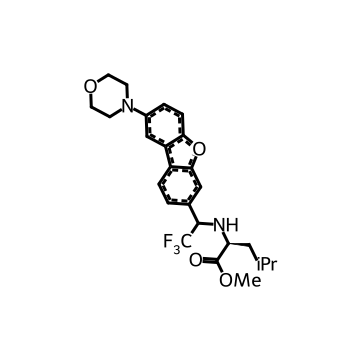 COC(=O)[C@H](CC(C)C)NC(c1ccc2c(c1)oc1ccc(N3CCOCC3)cc12)C(F)(F)F